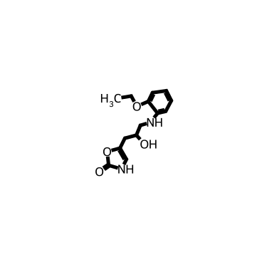 CCOc1ccccc1NCC(O)Cc1c[nH]c(=O)o1